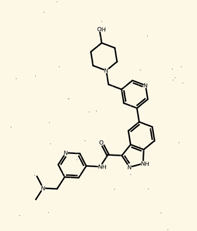 CN(C)Cc1cncc(NC(=O)c2n[nH]c3ccc(-c4cncc(CN5CCC(O)CC5)c4)cc23)c1